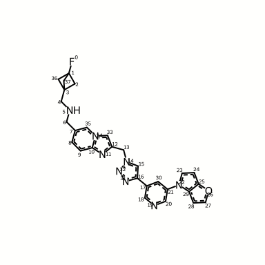 FC12CC(CNCc3ccc4nc(Cn5cc(-c6cncc(-n7ccc8occc87)c6)nn5)cn4c3)(C1)C2